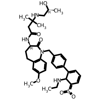 CCNC1C(c2ccc(CN3C(=O)[C@H](NC(=O)CC(C)(C)NC[C@@H](C)O)CCc4cc(OC)ccc43)cc2)=CC=CC1=S(=O)=O